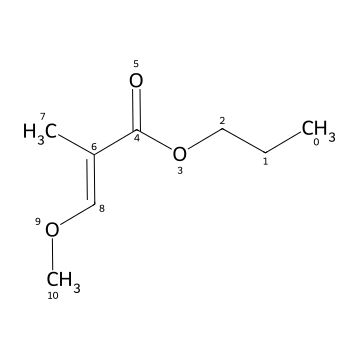 CCCOC(=O)C(C)=COC